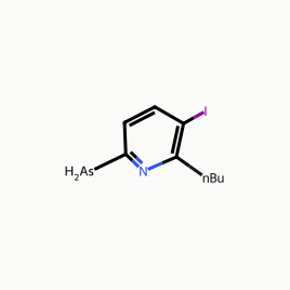 CCCCc1nc([AsH2])ccc1I